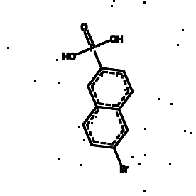 O=P(O)(O)c1ccc2cc(Br)ccc2c1